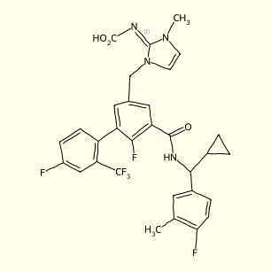 Cc1cc(C(NC(=O)c2cc(Cn3ccn(C)/c3=N/C(=O)O)cc(-c3ccc(F)cc3C(F)(F)F)c2F)C2CC2)ccc1F